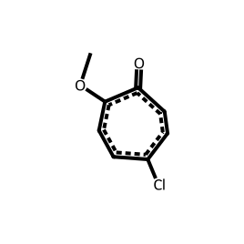 COc1ccc(Cl)ccc1=O